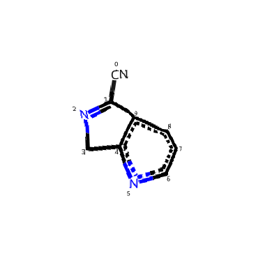 N#CC1=NCc2ncccc21